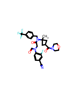 CC1(N(Cc2ccc(C(F)(F)F)cc2)C(=O)CN(C=O)c2ccc(C#N)cc2F)CC(C(=O)N2CCOCC2)C1